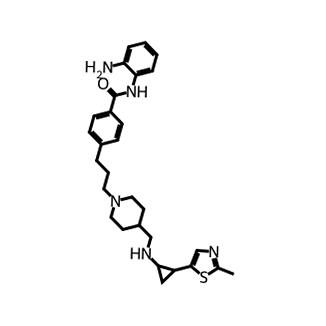 Cc1ncc(C2CC2NCC2CCN(CCCc3ccc(C(=O)Nc4ccccc4N)cc3)CC2)s1